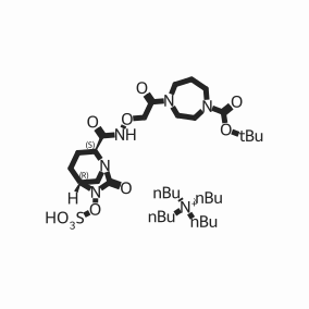 CC(C)(C)OC(=O)N1CCCN(C(=O)CONC(=O)[C@@H]2CC[C@@H]3CN2C(=O)N3OS(=O)(=O)O)CC1.CCCC[N+](CCCC)(CCCC)CCCC